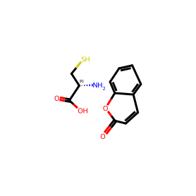 N[C@@H](CS)C(=O)O.O=c1ccc2ccccc2o1